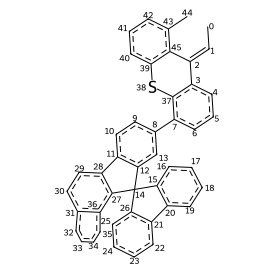 C/C=C1/c2cccc(-c3ccc4c(c3)C3(c5ccccc5-c5ccccc53)c3c-4ccc4ccccc34)c2Sc2cccc(C)c21